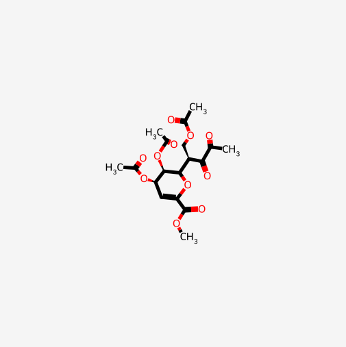 COC(=O)C1=C[C@@H](OC(C)=O)[C@@H](OC(C)=O)C([C@@H](COC(C)=O)C(=O)C(C)=O)O1